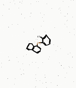 CCc1ccccc1Sc1cccc2c1CC=CC2